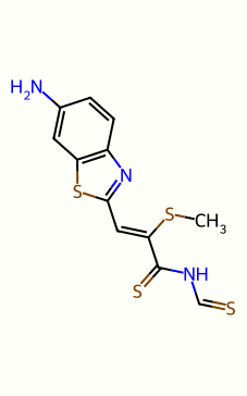 CS/C(=C\c1nc2ccc(N)cc2s1)C(=S)NC=S